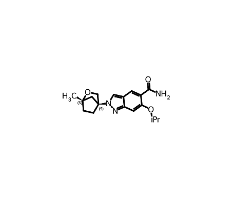 CC(C)Oc1cc2nn([C@@]34CC[C@@](C)(C3)OC4)cc2cc1C(N)=O